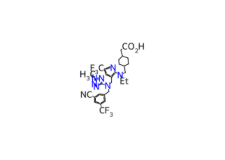 CCN(CC1CCC(CC(=O)O)CC1)c1ncc(C(F)(F)F)cc1CN(Cc1cc(C#N)cc(C(F)(F)F)c1)c1nnn(C)n1